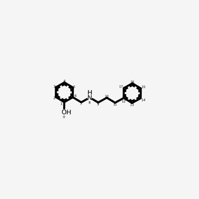 Oc1ccccc1CNCCCc1ccccc1